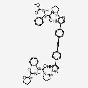 COC(=O)N[C@@H](C(=O)N1CCC[C@H]1c1ncc(-c2ccc(C#Cc3ccc(-c4cnc([C@@H]5CCCN5C(=O)[C@H](NC(=O)[C@H]5CCCO5)c5ccccc5)[nH]4)cc3)cc2)[nH]1)c1ccccc1